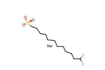 O=S(=O)([O-])CCCCCCCCCCCC(F)F.[Na+]